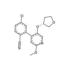 COc1cc(-c2cc(Cl)ccc2C#N)c(O[C@@H]2CCOC2)cn1